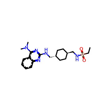 CCS(=O)(=O)NC[C@H]1CC[C@H](CNc2nc(N(C)C)c3ccccc3n2)CC1